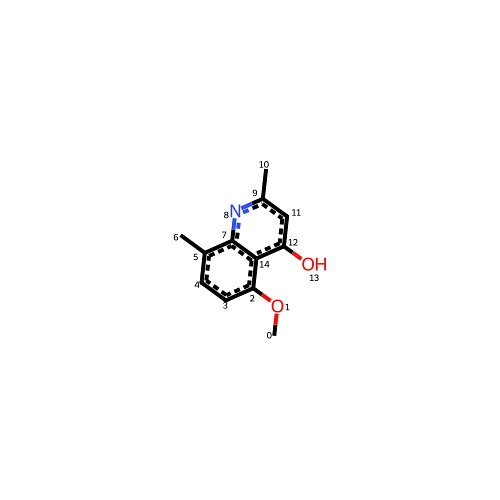 COc1ccc(C)c2nc(C)cc(O)c12